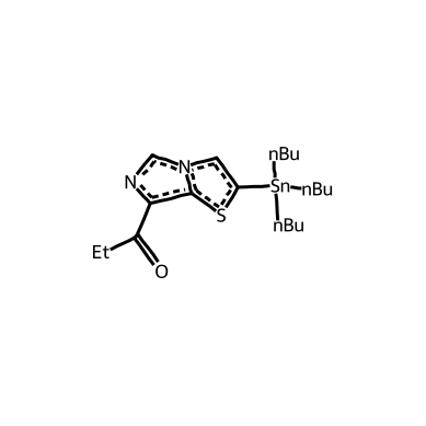 CCC[CH2][Sn]([CH2]CCC)([CH2]CCC)[c]1cn2cnc(C(=O)CC)c2s1